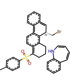 C1=CNc2ccccc2C=C1.Cc1ccc(S(=O)(=O)C2=c3ccc4c(c3CCC2)[C@@H](CBr)C=c2ccccc2=4)cc1